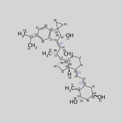 C=C1/C(=C\C=C2/CCC[C@]3(C)[C@@H]([C@H](C)/C=C/[C@@H](O)C4(c5ccc(C(C)C)cc5)CC4)CC[C@@H]23)C[C@@H](O)C[C@@H]1O